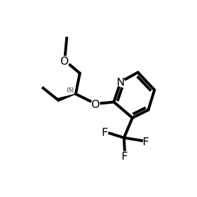 CC[C@@H](COC)Oc1ncccc1C(F)(F)F